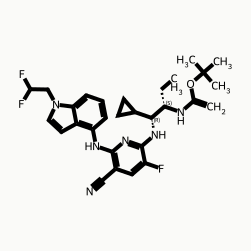 C=C(N[C@@H](CC)[C@H](Nc1nc(Nc2cccc3c2ccn3CC(F)F)c(C#N)cc1F)C1CC1)OC(C)(C)C